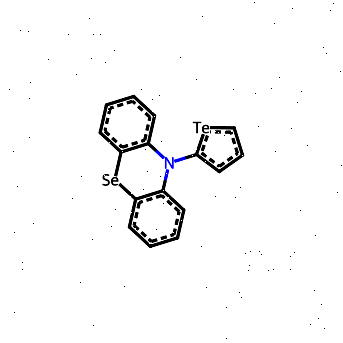 c1c[te]c(N2c3ccccc3[Se]c3ccccc32)c1